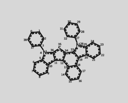 c1ccc(-n2c3ccccc3c3c4c5ccccc5c5c6ccccc6n(-c6ccccc6)c5c4sc32)cc1